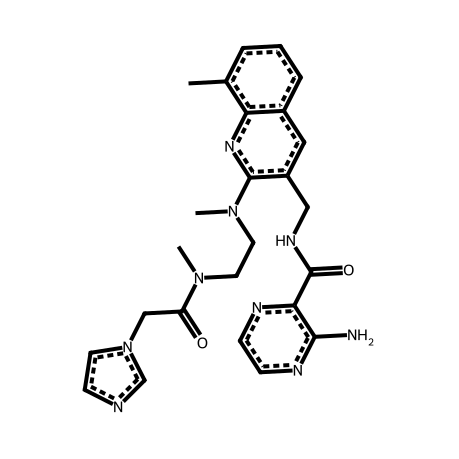 Cc1cccc2cc(CNC(=O)c3nccnc3N)c(N(C)CCN(C)C(=O)Cn3ccnc3)nc12